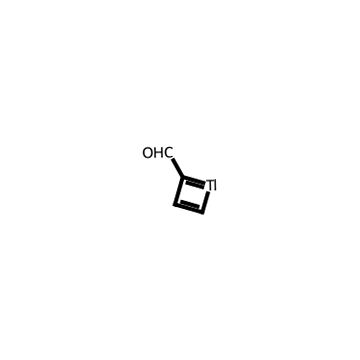 O=C[C]1=[Tl][CH]=C1